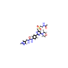 CC(=O)NCCS(=O)(=O)Cc1cc(N2CCOC[C@@H]2C)nc(-c2ccc(NC(=O)NCc3cnn(C)c3)cc2)n1